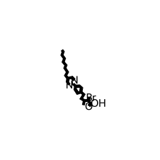 CCCCCCCCCc1cnc(-c2ccc(CCC(C)C(Br)C(=O)O)cc2)nc1